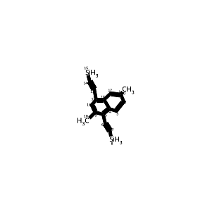 Cc1ccc2c(C#C[SiH3])c(C)cc(C#C[SiH3])c2c1